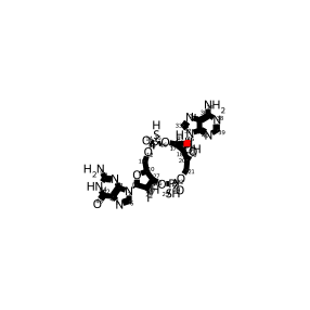 Nc1nc2c(ncn2[C@@H]2OC3CO[P@@](=O)(S)O[C@@H]4[C@H](O)C(CO[P@](=O)(S)O[C@H]3[C@H]2F)O[C@H]4n2cnc3c(N)ncnc32)c(=O)[nH]1